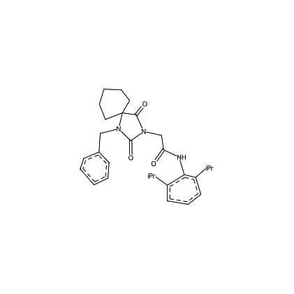 CC(C)c1cccc(C(C)C)c1NC(=O)CN1C(=O)N(Cc2ccccc2)C2(CCCCC2)C1=O